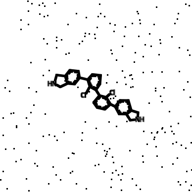 Clc1c(-c2ccc3c(c2)CNC3)cccc1-c1cccc(-c2ccc3c(c2)CNC3)c1Cl